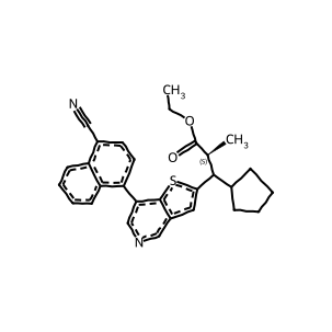 CCOC(=O)[C@@H](C)C(c1cc2cncc(-c3ccc(C#N)c4ccccc34)c2s1)C1CCCC1